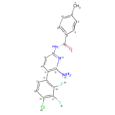 Cc1ccc(C(=O)Nc2ccc(-c3ccc(Cl)c(F)c3F)c(N)n2)cc1